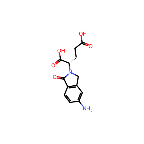 Nc1ccc2c(c1)CN([C@@H](CCC(=O)O)C(=O)O)C2=O